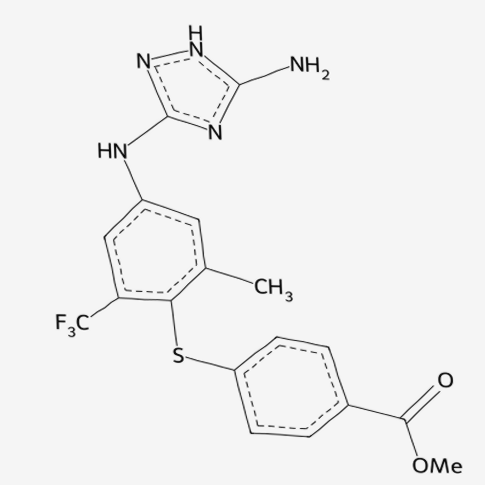 COC(=O)c1ccc(Sc2c(C)cc(Nc3n[nH]c(N)n3)cc2C(F)(F)F)cc1